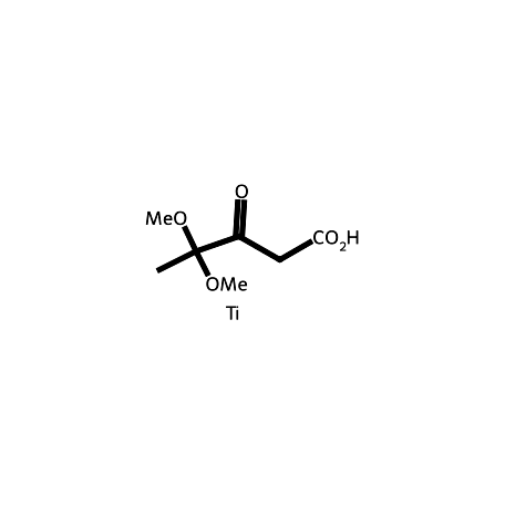 COC(C)(OC)C(=O)CC(=O)O.[Ti]